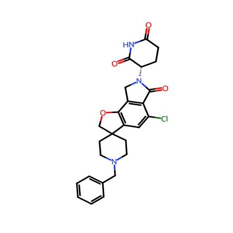 O=C1CC[C@H](N2Cc3c4c(cc(Cl)c3C2=O)C2(CCN(Cc3ccccc3)CC2)CO4)C(=O)N1